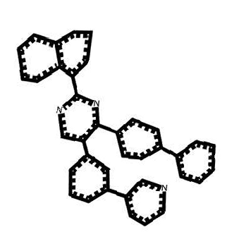 c1ccc(-c2ccc(-c3nc(-c4cccc5ccccc45)ncc3-c3cccc(-c4cccnc4)c3)cc2)cc1